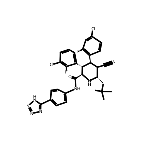 CC(C)(C)C[C@@H]1N[C@@H](C(=O)Nc2ccc(-c3nnn[nH]3)cc2)[C@H](c2cccc(Cl)c2F)[C@@H](c2ccc(Cl)cc2F)C1C#N